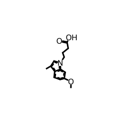 COc1ccc2c(C)cn(CCCC(=O)O)c2c1